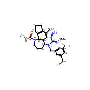 CN/N=C(\N=N)N(Cc1cc(CF)cc(C(F)(F)F)c1)[C@H]1CCCN(C(=O)OC(C)C)c2c1cc(C)c1c2CCC1